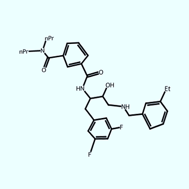 CCCN(CCC)C(=O)c1cccc(C(=O)NC(Cc2cc(F)cc(F)c2)C(O)CNCc2cccc(CC)c2)c1